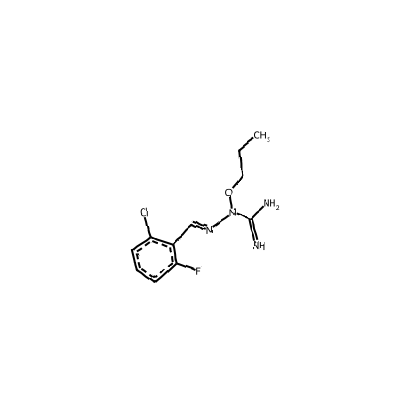 CCCON(/N=C/c1c(F)cccc1Cl)C(=N)N